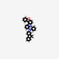 CC1(C)c2ccccc2-c2ccc(N3c4ccccc4-n4c5ccc6oc7ccccc7c6c5c5cccc3c54)cc21